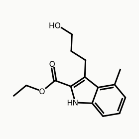 CCOC(=O)c1[nH]c2cccc(C)c2c1CCCO